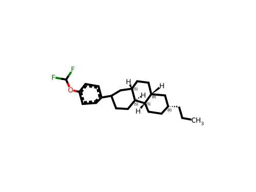 CCC[C@@H]1CC[C@H]2[C@H](CC[C@H]3CC(c4ccc(OC(F)F)cc4)CC[C@@H]32)C1